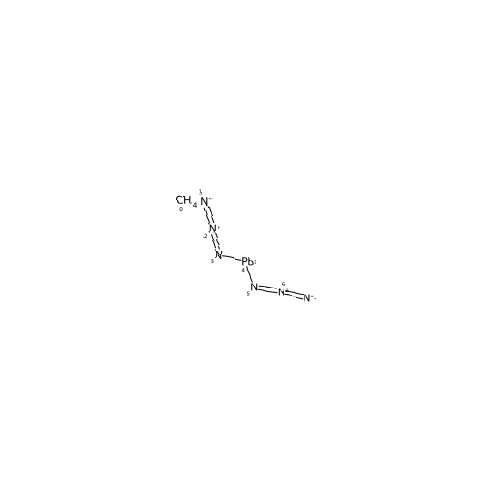 C.[N-]=[N+]=[N][Pb][N]=[N+]=[N-]